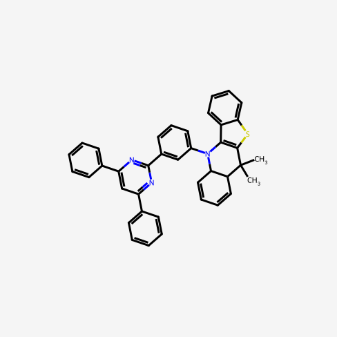 CC1(C)c2sc3ccccc3c2N(c2cccc(-c3nc(-c4ccccc4)cc(-c4ccccc4)n3)c2)C2C=CC=CC21